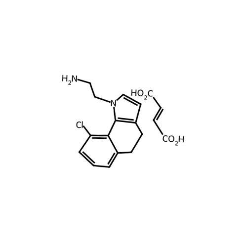 NCCn1ccc2c1-c1c(Cl)cccc1CC2.O=C(O)C=CC(=O)O